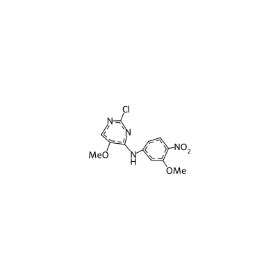 COc1cc(Nc2nc(Cl)ncc2OC)ccc1[N+](=O)[O-]